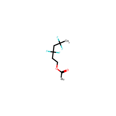 CCC(C)C(=O)OCCC(F)(F)CC(C)(F)F